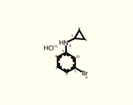 Brc1cccc(NC2CC2)c1.Cl